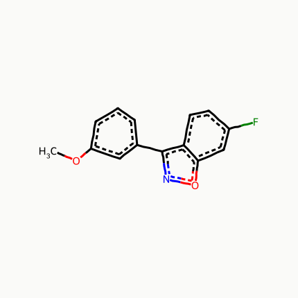 COc1cccc(-c2noc3cc(F)ccc23)c1